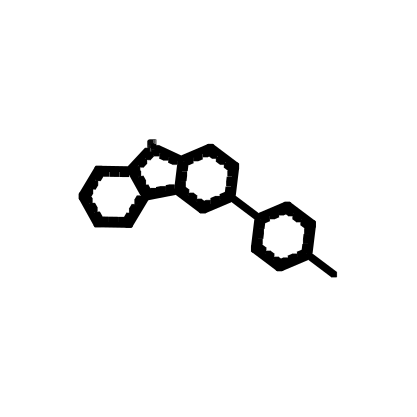 Cc1ccc(-c2ccc3sc4ccccc4c3c2)cc1